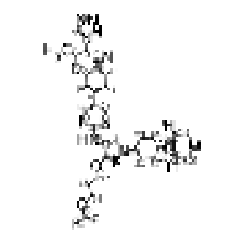 CC(Cn1cnnn1)Oc1cc(-c2cnc(Nc3cn(C4CCC(N5[C@@H]6CC[C@H]5COC6)CC4)nc3OCCCOC(F)F)nc2)ccc1C#N